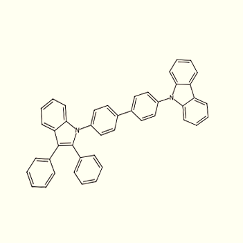 c1ccc(-c2c(-c3ccccc3)n(-c3ccc(-c4ccc(-n5c6ccccc6c6ccccc65)cc4)cc3)c3ccccc23)cc1